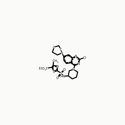 CCOC(=O)c1sc(S(=O)(=O)NC2CCCN(c3nc(Cl)nc4cc(N5CCOCC5)ccc34)C2)nc1C